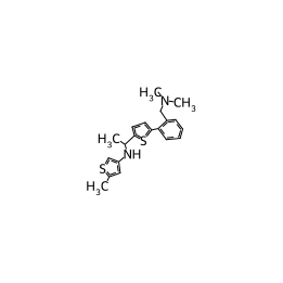 Cc1cc(NC(C)c2ccc(-c3ccccc3CN(C)C)s2)cs1